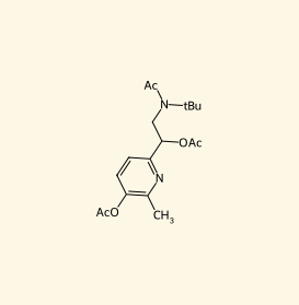 CC(=O)Oc1ccc(C(CN(C(C)=O)C(C)(C)C)OC(C)=O)nc1C